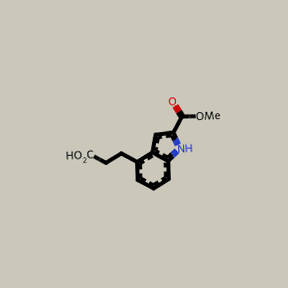 COC(=O)c1cc2c(CCC(=O)O)cccc2[nH]1